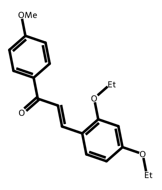 CCOc1ccc(C=CC(=O)c2ccc(OC)cc2)c(OCC)c1